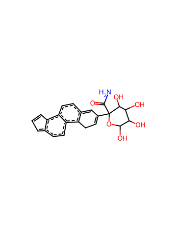 NC(=O)C1(C2=CCc3c(ccc4c5c(ccc34)=CC=C5)=C2)OC(O)C(O)C(O)C1O